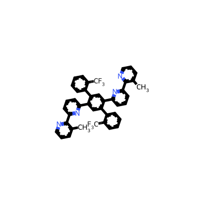 Cc1cccnc1-c1cccc(-c2cc(-c3ccccc3C(F)(F)F)c(-c3cccc(-c4ncccc4C)n3)cc2-c2ccccc2C(F)(F)F)n1